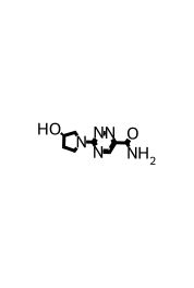 NC(=O)c1cnc(N2CC[C@@H](O)C2)nn1